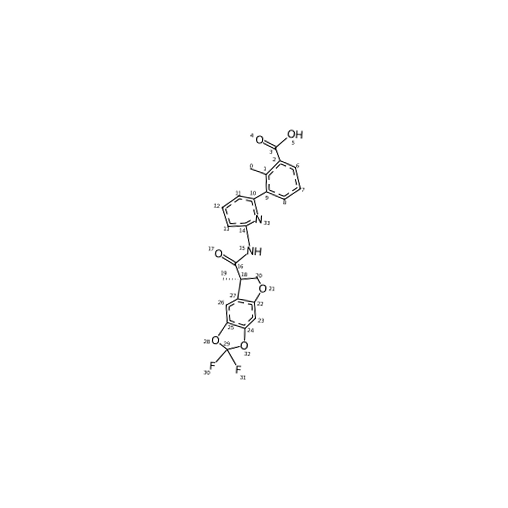 Cc1c(C(=O)O)cccc1-c1cccc(NC(=O)[C@@]2(C)COc3cc4c(cc32)OC(F)(F)O4)n1